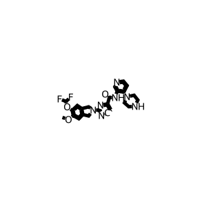 COc1cc2c(cc1OC(F)F)CN(c1nccc(C(=O)Nc3cnccc3N3CCNCC3)n1)C2